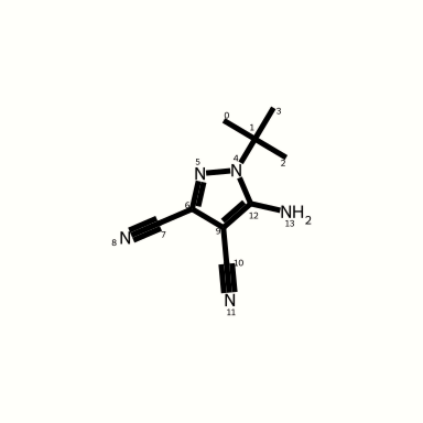 CC(C)(C)n1nc(C#N)c(C#N)c1N